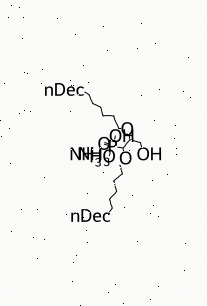 CCCCCCCCCCCCCCCCOC(CO)C(OCCCCCCCCCCCCCCCC)P(=O)(O)O.N.N